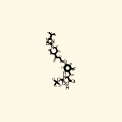 CC(C)c1noc(N2CCC([C@H](C)CCOc3ccc(C[C@H](NC(=O)OC(C)(C)C)C(=O)O)c(F)c3)CC2)n1